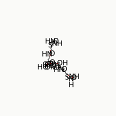 COP(=O)(O)OCC(CCCCNC(=O)CCCCC1SCC2NC(=O)NC21)COP(=O)(O)OCC(CO)CCCCNC(=O)CCCCC1SCC2NC(=O)NC21